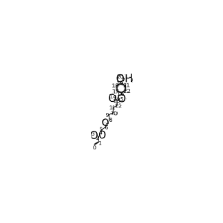 C=CC(=O)OCCOCCCCCC(=O)Oc1ccc(O)cc1